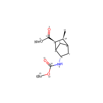 COC(=O)[C@@H]1C2CC(C[C@@H]2NC(=O)OC(C)(C)C)[C@@H]1C